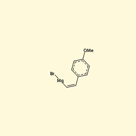 COc1ccc(/C=[CH]\[Mg][Br])cc1